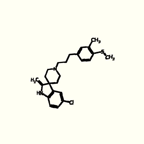 C=C1Nc2ccc(Cl)cc2C12CCN(CCCc1ccc(SC)c(C)c1)CC2